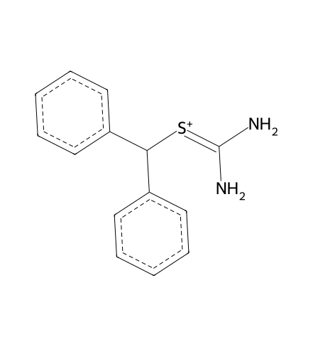 NC(N)=[S+]C(c1ccccc1)c1ccccc1